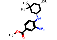 COC(=O)c1ccc(N[C@@H]2C[C@@H](C)CC(C)(C)C2)c(N)c1